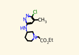 CCOC(=O)CN1CCC[C@@H](Nc2cc(C)c(Cl)nn2)C1